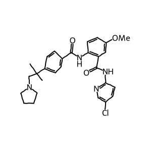 COc1ccc(NC(=O)c2ccc(C(C)(C)CN3CCCC3)cc2)c(C(=O)Nc2ccc(Cl)cn2)c1